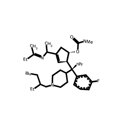 CCC[C@@](c1cccc(F)c1)(C1CCN(CC(CC)CC(C)CC)CC1)[C@H]1C=C(C(C)/N=C(\C)CC)C[C@@H]1OC(=O)NC